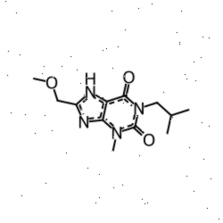 COCc1nc2c([nH]1)c(=O)n(CC(C)C)c(=O)n2C